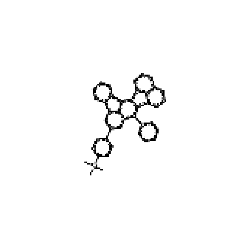 C[Si](C)(C)c1ccc(-c2cc3c(-c4ccccc4)c4c5cccc6cccc(c65)c4c4c5ccccc5c(c2)c34)cc1